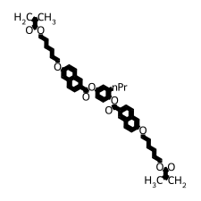 C=C(C)C(=O)OCCCCCCOc1ccc2cc(C(=O)Oc3ccc(OC(=O)c4ccc5cc(OCCCCCCOC(=O)C(=C)C)ccc5c4)c(CCC)c3)ccc2c1